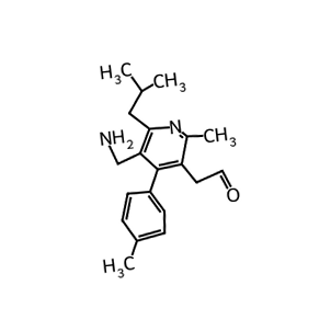 Cc1ccc(-c2c(CC=O)c(C)nc(CC(C)C)c2CN)cc1